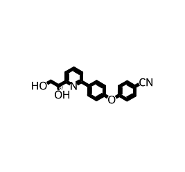 N#Cc1ccc(Oc2ccc(-c3cccc([C@@H](O)CO)n3)cc2)cc1